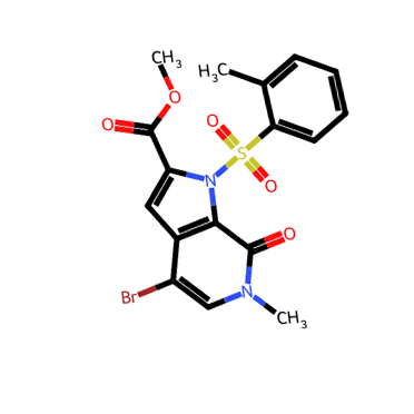 COC(=O)c1cc2c(Br)cn(C)c(=O)c2n1S(=O)(=O)c1ccccc1C